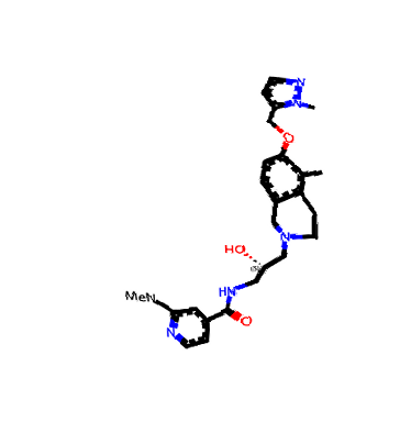 CNc1cc(C(=O)NC[C@H](O)CN2CCc3c(ccc(OCc4ccnn4C)c3C)C2)ccn1